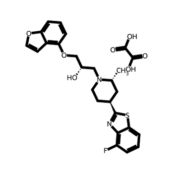 C[C@@H]1C[C@@H](c2nc3c(F)cccc3s2)CCN1C[C@H](O)COc1cccc2occc12.O=C(O)C(=O)O